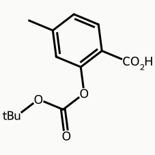 Cc1ccc(C(=O)O)c(OC(=O)OC(C)(C)C)c1